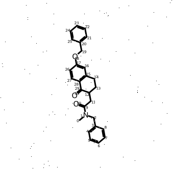 CN(Cc1ccccc1)C(=O)CC1CCc2cc(OCc3ccccc3)ccc2C1=O